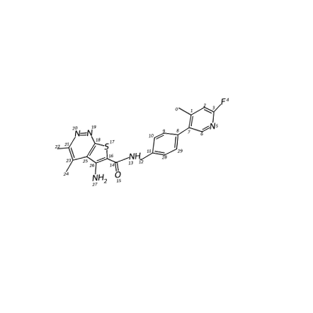 Cc1cc(F)ncc1-c1ccc(CNC(=O)c2sc3nnc(C)c(C)c3c2N)cc1